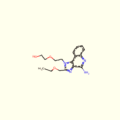 CCOCc1nc2c(N)nc3ccccc3c2n1CCOCCO